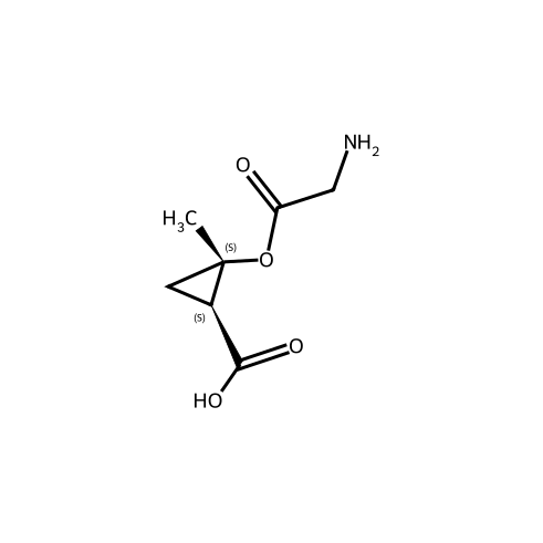 C[C@]1(OC(=O)CN)C[C@@H]1C(=O)O